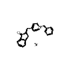 O=C1c2ccccc2CC1Cc1cc[n+](Cc2ccccc2)cc1.[Br-]